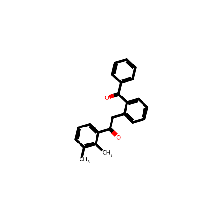 Cc1cccc(C(=O)Cc2ccccc2C(=O)c2ccccc2)c1C